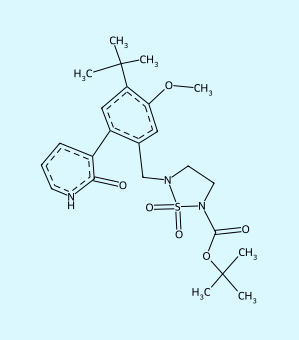 COc1cc(CN2CCN(C(=O)OC(C)(C)C)S2(=O)=O)c(-c2ccc[nH]c2=O)cc1C(C)(C)C